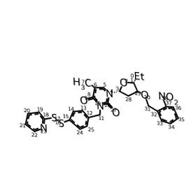 CC[C@H]1O[C@@H](n2cc(C)c(=O)n(Cc3ccc(SSc4ccccn4)cc3)c2=O)CC1OCc1ccccc1[N+](=O)[O-]